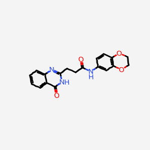 O=C(CCc1nc2ccccc2c(=O)[nH]1)Nc1ccc2c(c1)OCCO2